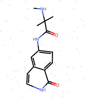 CNC(C)(C)C(=O)Nc1ccc2c(=O)[nH]ccc2c1